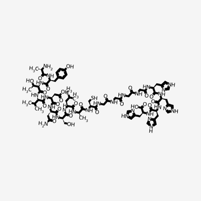 CC(C)C[C@H](NC(=O)[C@H](CO)NC(=O)[C@H](CC(N)=O)NC(=O)[C@H](CC(=O)O)NC(=O)[C@@H](NC(=O)[C@@H](NC(=O)[C@H](Cc1ccc(O)cc1)NC(=O)[C@H](C)N)[C@@H](C)O)C(C)C)C(=O)N[C@@H](C)C(=O)N[C@@H](CS)C(=O)NCC(=O)NCC(=O)NCC(=O)NCC(=O)N[C@@H](Cc1c[nH]cn1)C(=O)N[C@@H](Cc1c[nH]cn1)C(=O)N[C@@H](Cc1c[nH]cn1)C(=O)N[C@@H](Cc1c[nH]cn1)C(=O)O